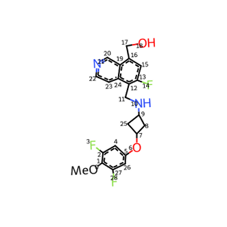 COc1c(F)cc(OC2CC(NCc3c(F)cc(CO)c4cnccc34)C2)cc1F